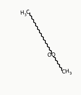 CCCCCCCCCCCCCCCCCCCCCCCCC(=O)OCCCCCCCCCC